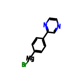 [Br][Mg][c]1ccc(-c2cnccn2)cc1